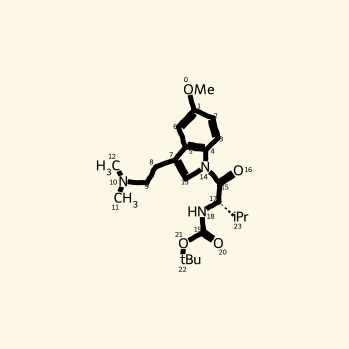 COc1ccc2c(c1)c(CCN(C)C)cn2C(=O)[C@@H](NC(=O)OC(C)(C)C)C(C)C